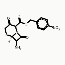 NC1C(=O)N2C(C(=O)OCc3ccc([N+](=O)[O-])cc3)C(=O)CS[C@H]12